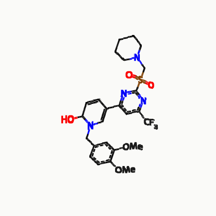 COc1ccc(CN2C=C(c3cc(C(F)(F)F)nc(S(=O)(=O)CN4CCCCC4)n3)C=CC2O)cc1OC